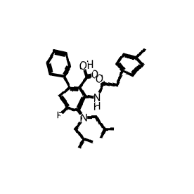 Cc1ccc(CC(=O)Nc2c(C(=O)O)c(-c3ccccc3)cc(F)c2N(CC(C)C)CC(C)C)cc1